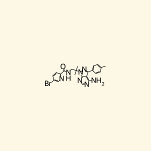 Cc1ccc(-c2nn(C(C)(C)CNC(=O)c3ccc(Br)cn3)c3ncnc(N)c23)cc1